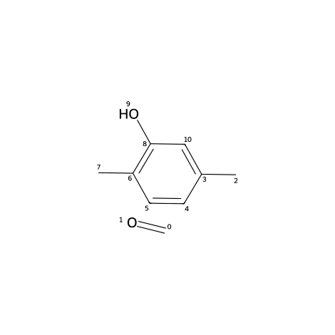 C=O.Cc1ccc(C)c(O)c1